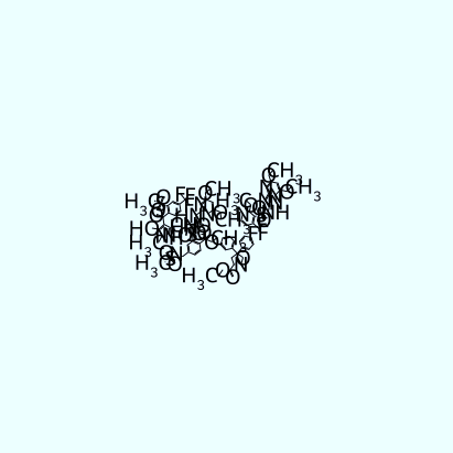 CCOC(=O)C1=NOC(c2ccccc2)(c2ccccc2)C1.COC(=O)c1ccc(CNS(C)(=O)=O)cc1S(=O)(=O)NC(=O)Nc1nc(OC)cc(OC)n1.COc1cc(OC)n2nc(NS(=O)(=O)c3c(C(F)(F)F)ccnc3OC)nc2n1.Cc1nn(C)c(O)c1C(=O)c1ccc(C(F)(F)F)cc1S(C)(=O)=O